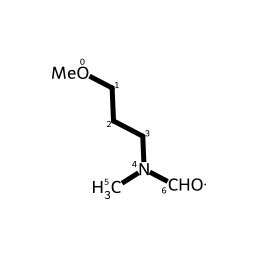 COCCCN(C)[C]=O